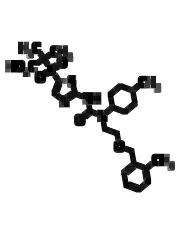 Cc1ccccc1COCCN(C(=O)Nc1ncc(S(=O)(=O)C(C)(C)C(=O)O)s1)C1CCC(C)CC1